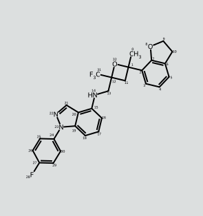 CC1(c2cccc3c2OCC3)CC(CNc2cccc3c2cnn3-c2ccc(F)cc2)(C(F)(F)F)O1